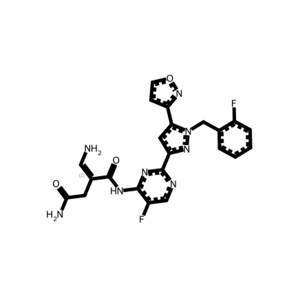 N/C=C(/CC(N)=O)C(=O)Nc1nc(-c2cc(-c3ccon3)n(Cc3ccccc3F)n2)ncc1F